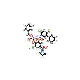 O=C(COc1c(Cl)cc(C(=O)N2CCC2)cc1S(=O)(=O)Nc1cc(-c2ccccc2)c(F)cc1F)OCc1ccccc1